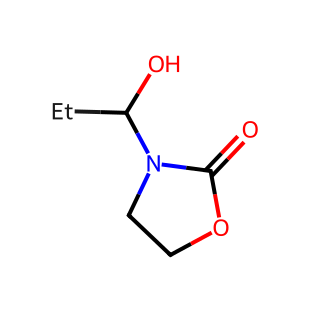 CCC(O)N1CCOC1=O